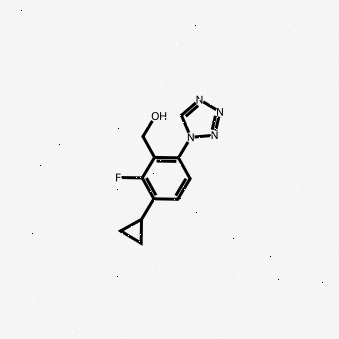 OCc1c(-n2cnnn2)ccc(C2CC2)c1F